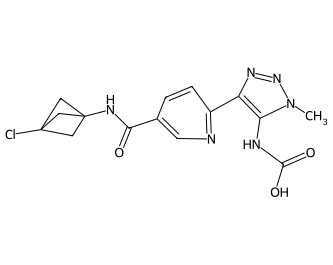 Cn1nnc(-c2ccc(C(=O)NC34CC(Cl)(C3)C4)cn2)c1NC(=O)O